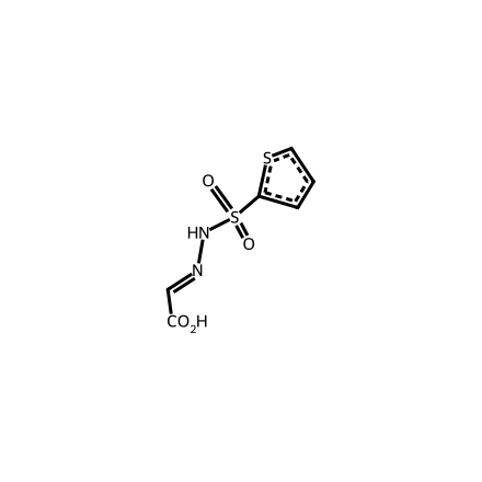 O=C(O)C=NNS(=O)(=O)c1cccs1